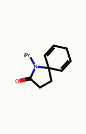 CC(C)N1C(=O)CCC12C=CCC=C2